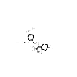 COc1ccc(CNc2c([N+](=O)[O-])cnc3cc(Br)ccc23)c(OC)c1